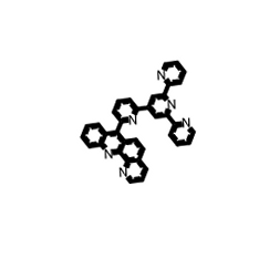 c1ccc(-c2cc(-c3cccc(-c4c5ccccc5nc5c4ccc4cccnc45)n3)cc(-c3ccccn3)n2)nc1